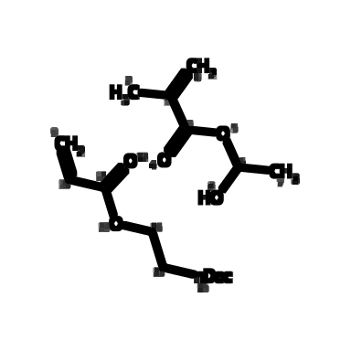 C=C(C)C(=O)OC(C)O.C=CC(=O)OCCCCCCCCCCCC